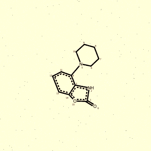 O=c1[nH]c2c(N3CCCCC3)cccc2o1